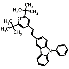 CC(C)(C)c1cc(C=Cc2ccc3c(c2)c2ccccc2n3-c2ccccc2)cc(C(C)(C)C)[o+]1